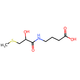 CSCC(O)C(=O)NCCCC(=O)O